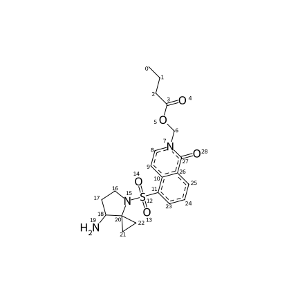 CCCC(=O)OCn1ccc2c(S(=O)(=O)N3CCC(N)C34CC4)cccc2c1=O